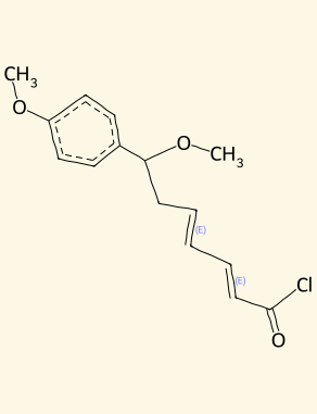 COc1ccc(C(C/C=C/C=C/C(=O)Cl)OC)cc1